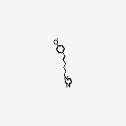 COc1ccc(/C=C/CCCCn2ccnc2)cc1